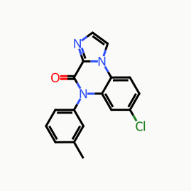 Cc1cccc(-n2c(=O)c3nccn3c3ccc(Cl)cc32)c1